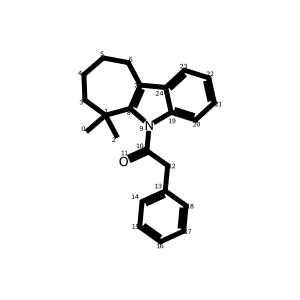 CC1(C)CCCCc2c1n(C(=O)Cc1ccccc1)c1ccccc21